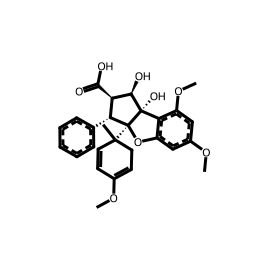 COC1=CCC(C)([C@@]23Oc4cc(OC)cc(OC)c4[C@]2(O)[C@H](O)[C@H](C(=O)O)[C@H]3c2ccccc2)C=C1